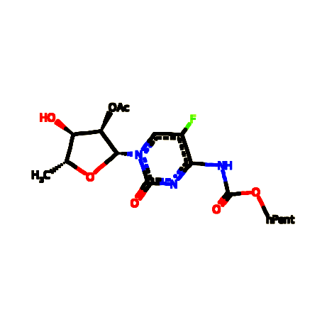 CCCCCOC(=O)Nc1nc(=O)n([C@@H]2O[C@H](C)[C@@H](O)[C@H]2OC(C)=O)cc1F